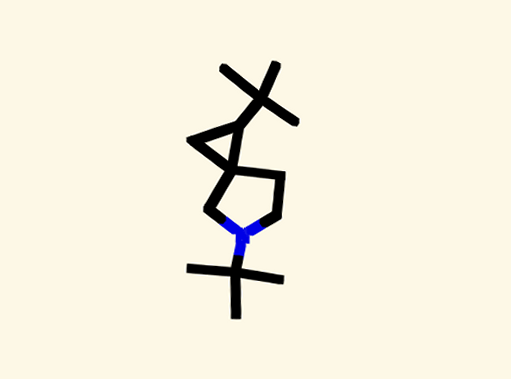 CC(C)(C)C1CC12CCN(C(C)(C)C)C2